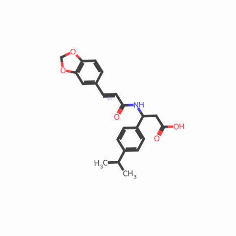 CC(C)c1ccc(C(CC(=O)O)NC(=O)/C=C/c2ccc3c(c2)OCO3)cc1